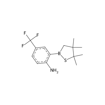 CC1(C)CB(c2cc(C(F)(F)F)ccc2N)SC1(C)C